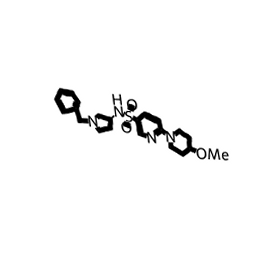 COC1CCN(c2ccc(S(=O)(=O)N[C@@H]3CCN(Cc4ccccc4)C3)cn2)CC1